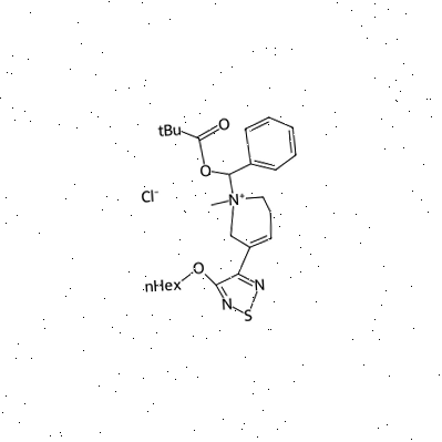 CCCCCCOc1nsnc1C1=CCC[N+](C)(C(OC(=O)C(C)(C)C)c2ccccc2)C1.[Cl-]